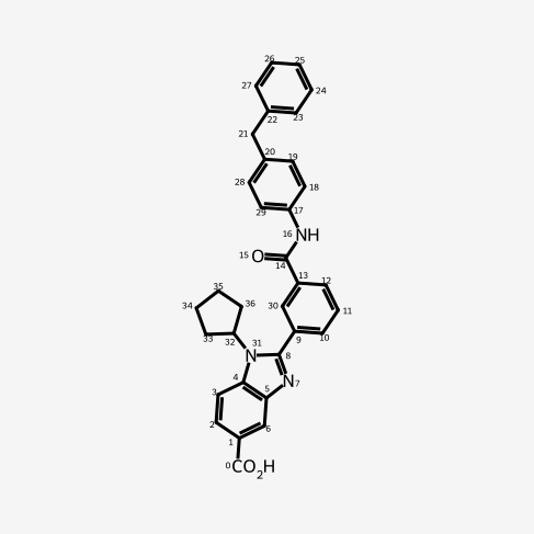 O=C(O)c1ccc2c(c1)nc(-c1cccc(C(=O)Nc3ccc(Cc4ccccc4)cc3)c1)n2C1CCCC1